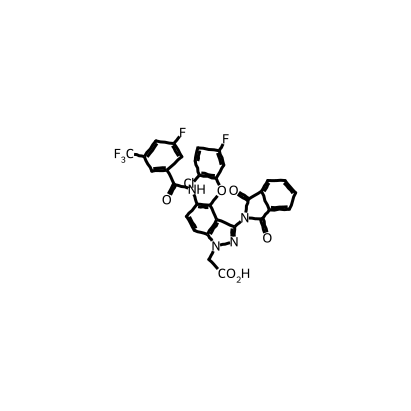 O=C(O)Cn1nc(N2C(=O)c3ccccc3C2=O)c2c(Oc3cc(F)ccc3Cl)c(NC(=O)c3cc(F)cc(C(F)(F)F)c3)ccc21